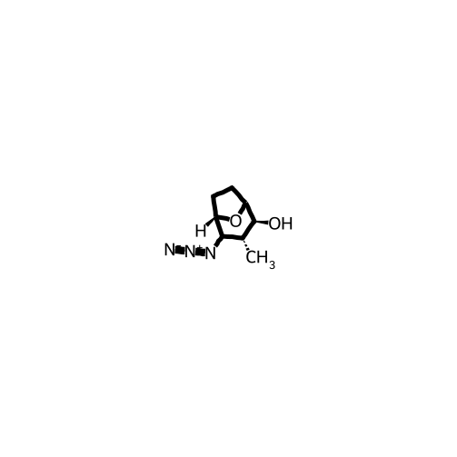 C[C@@H]1C(N=[N+]=[N-])[C@@H]2CCC(O2)[C@H]1O